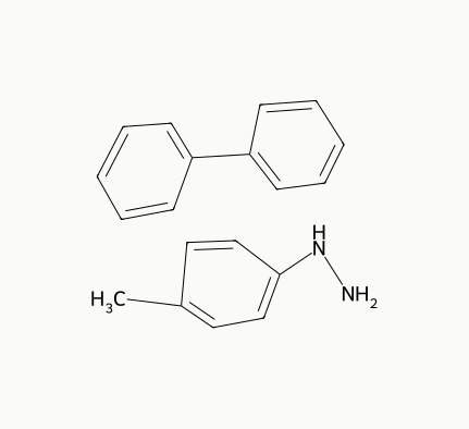 Cc1ccc(NN)cc1.c1ccc(-c2ccccc2)cc1